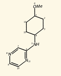 COC1CCC(Nc2cnccn2)CC1